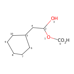 O=C(O)OC(O)CC1CCCCC1